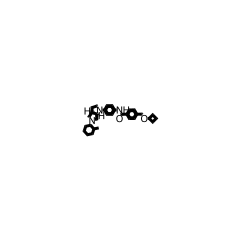 CC1CCCCC1N1C[C@H]2CCN(c3ccc(NC(=O)c4ccc(COC5CCC5)cc4)cc3)[C@H]2C1